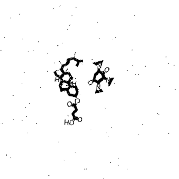 CC(C)[C@@H](C)/C=C/[C@@H](C)[C@H]1CC[C@H]2C3=CC=C4C[C@@H](OC(=O)CCC(=O)O)CC[C@]4(C)[C@H]3CC[C@]12C.O=C1C=C(N2CC2)C(=O)C(N2CC2)=C1N1CC1